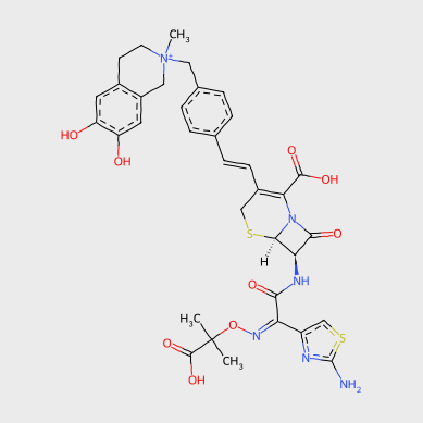 CC(C)(O/N=C(\C(=O)N[C@@H]1C(=O)N2C(C(=O)O)=C(/C=C/c3ccc(C[N+]4(C)CCc5cc(O)c(O)cc5C4)cc3)CS[C@H]12)c1csc(N)n1)C(=O)O